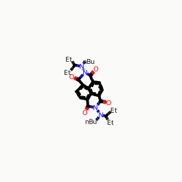 CCCCN(C(CC)CC)N1C(=O)c2ccc3c4c(ccc(c24)C1=O)C(=O)N(N(CCCC)C(CC)CC)C3=O